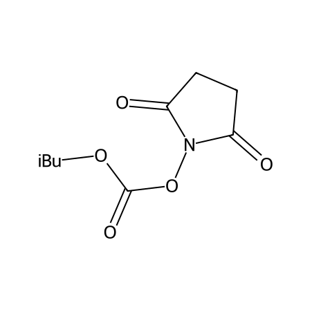 CCC(C)OC(=O)ON1C(=O)CCC1=O